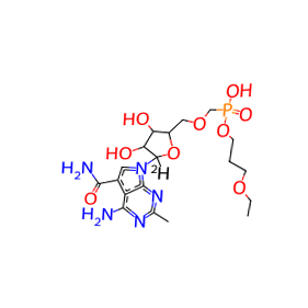 [2H]C1(n2cc(C(N)=O)c3c(N)nc(C)nc32)OC(COCP(=O)(O)OCCCOCC)C(O)C1O